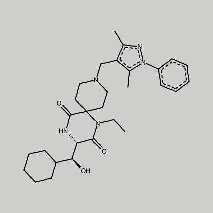 CCN1C(=O)[C@H]([C@@H](O)C2CCCCC2)NC(=O)C12CCN(Cc1c(C)nn(-c3ccccc3)c1C)CC2